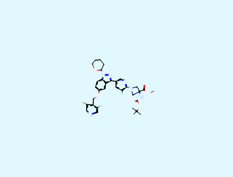 COC(=O)C1(NC(=O)OC(C)(C)C)CN(c2ncc(-c3nn(C4CCCCO4)c4ccc(O[C@H](C)c5c(Cl)cncc5Cl)cc34)cc2F)C1